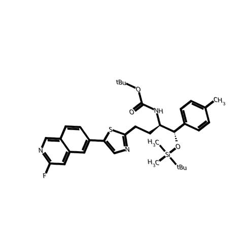 Cc1ccc([C@H](O[Si](C)(C)C(C)(C)C)[C@@H](CCc2ncc(-c3ccc4cnc(F)cc4c3)s2)NC(=O)OC(C)(C)C)cc1